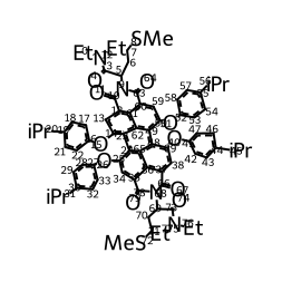 CCN(CC)C(=O)C(CCSC)N1C(=O)c2cc(Oc3ccc(C(C)C)cc3)c3c4c(Oc5ccc(C(C)C)cc5)cc5c6c(cc(Oc7ccc(C(C)C)cc7)c(c7c(Oc8ccc(C(C)C)cc8)cc(c2c37)C1=O)c64)C(=O)N(C(CCSC)C(=O)N(CC)CC)C5=O